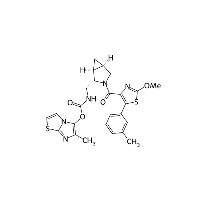 COc1nc(C(=O)N2C[C@@H]3C[C@@H]3[C@H]2CNC(=O)Oc2c(C)nc3sccn23)c(-c2cccc(C)c2)s1